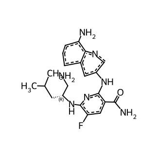 CC(C)C[C@H](CN)Nc1nc(Nc2cnc3c(N)cccc3c2)c(C(N)=O)cc1F